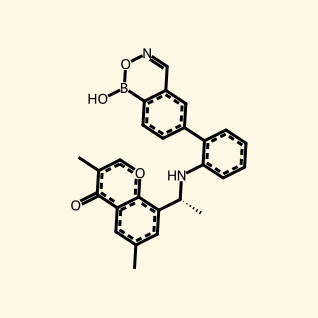 Cc1cc([C@@H](C)Nc2ccccc2-c2ccc3c(c2)C=NOB3O)c2occ(C)c(=O)c2c1